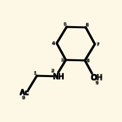 CC(=O)CNC1CCCCC1O